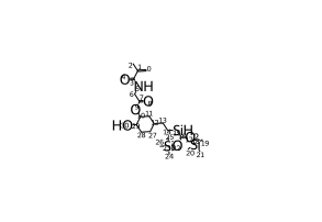 C=C(C)C(=O)NCC(=O)OC1CC(CC[SiH2]C(O[Si](C)(C)C)O[Si](C)(C)C)CCC1O